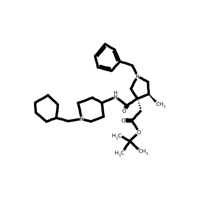 C[C@@H]1CN(Cc2ccccc2)C[C@]1(CC(=O)OC(C)(C)C)C(=O)NC1CCN(CC2CCCCC2)CC1